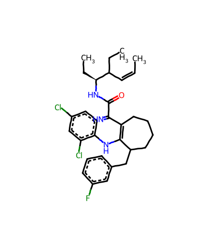 C/C=C\C(CC)[C@H](CC)NC(=O)C(=N)C1=C(Nc2ccc(Cl)cc2Cl)C(Cc2cccc(F)c2)CCCC1